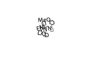 CCc1ccccc1-c1nc(Cl)c(CN2CCCCC2c2cccc(OC)c2)n1CC1OCCO1